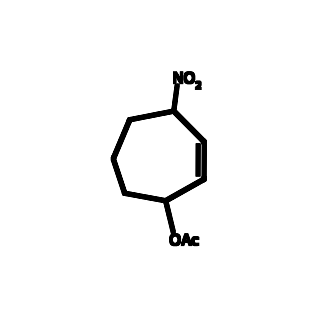 CC(=O)OC1C=CC([N+](=O)[O-])CCC1